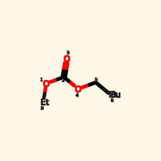 [CH2]COC(=O)OCC(C)CC